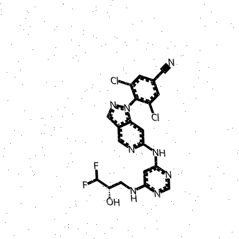 N#Cc1cc(Cl)c(-n2ncc3cnc(Nc4cc(NC[C@H](O)C(F)F)ncn4)cc32)c(Cl)c1